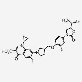 CC(=O)C(N)C1CN(c2ccc(OCC3CCN(c4cc5c(cc4F)c(=O)c(C(=O)O)cn5C4CC4)C3)c(F)c2)C(=O)O1